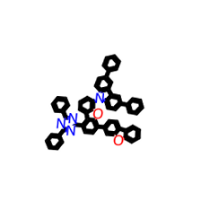 c1ccc(-c2ccc3c(c2)c2cc(-c4ccccc4)ccc2n3-c2cccc3c2oc2c(-c4ccc5c(c4)oc4ccccc45)ccc(-c4nc(-c5ccccc5)nc(-c5ccccc5)n4)c23)cc1